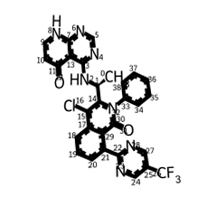 C[C@H](Nc1ncnc2[nH]ccc(=O)c12)c1c(Cl)c2cccc(-c3ncc(C(F)(F)F)cn3)c2c(=O)n1-c1ccccc1